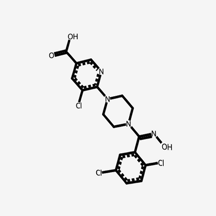 O=C(O)c1cnc(N2CCN(C(=NO)c3cc(Cl)ccc3Cl)CC2)c(Cl)c1